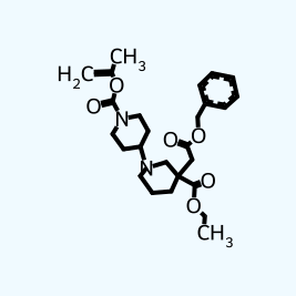 C=C(C)OC(=O)N1CCC(N2CCCC(CC(=O)OCc3ccccc3)(C(=O)OCC)C2)CC1